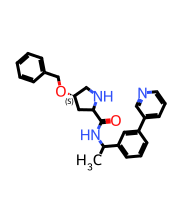 CC(NC(=O)C1C[C@H](OCc2ccccc2)CN1)c1cccc(-c2cccnc2)c1